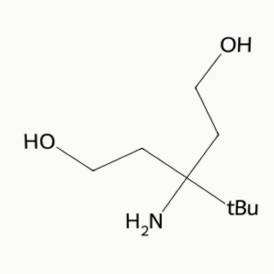 [CH2]C(C)(C)C(N)(CCO)CCO